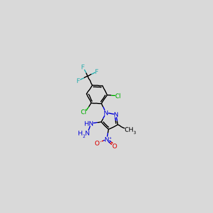 Cc1nn(-c2c(Cl)cc(C(F)(F)F)cc2Cl)c(NN)c1[N+](=O)[O-]